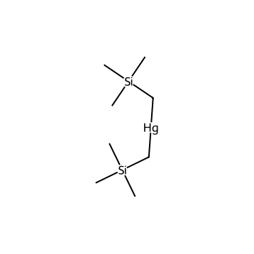 C[Si](C)(C)[CH2][Hg][CH2][Si](C)(C)C